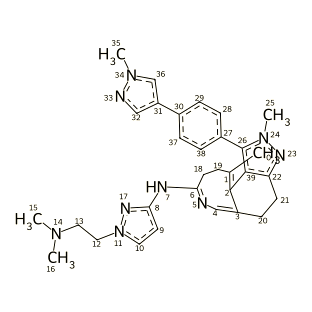 C\C1=C2/C(=C\N=C(\Nc3ccn(CCN(C)C)n3)CC1)CCc1nn(C)c(-c3ccc(-c4cnn(C)c4)cc3)c12